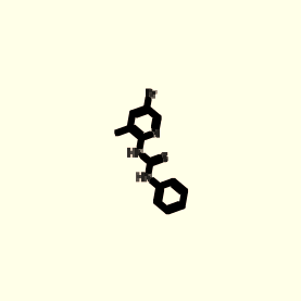 Cc1cc(Br)cnc1NC(=S)Nc1ccccc1